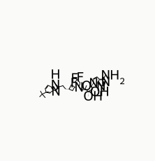 CC(C)(C)c1ccc2[nH]c(CC[C@H]3C[C@@H](N(C[C@H]4O[C@@H](n5ccc6c(N)ncnc65)[C@H](O)[C@@H]4O)CC(F)(F)F)C3)nc2c1